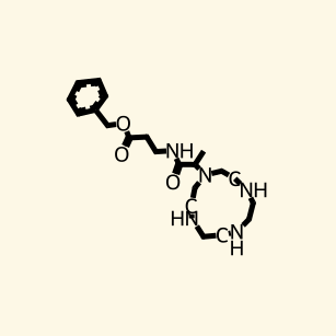 CC(C(=O)NCCC(=O)OCc1ccccc1)N1CCNCCNCCNCC1